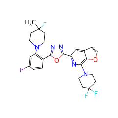 CC1(F)CCN(c2cc(I)ccc2-c2nnc(-c3cc4ccoc4c(N4CCC(F)(F)CC4)n3)o2)CC1